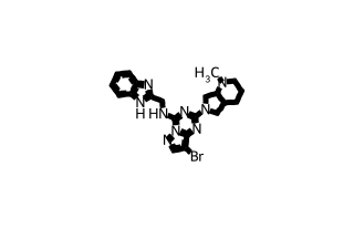 CN1CCCC2CN(c3nc(NCc4nc5ccccc5[nH]4)n4ncc(Br)c4n3)CC21